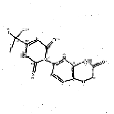 O=C1COc2ccc(-n3c(=O)cc(C(F)(F)F)[nH]c3=S)nc2N1